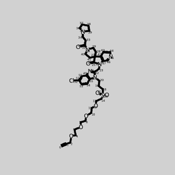 C#CCOCCOCCOCCOCCS(=O)(=O)CCCn1c(CN2C(=O)C3(CCN(C(=O)CCN4CCCC4)CC3)c3ccncc32)nc2cc(Cl)ccc21